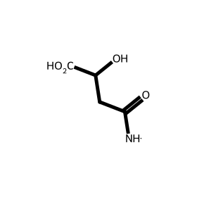 [NH]C(=O)CC(O)C(=O)O